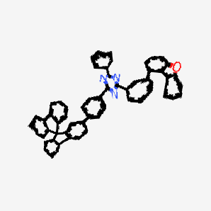 c1ccc(-c2nc(-c3ccc(-c4ccc5c(c4)C4(c6ccccc6-c6ccccc64)c4ccccc4-5)cc3)nc(-c3cccc(-c4cccc5oc6ccccc6c45)c3)n2)cc1